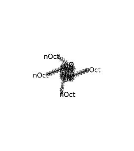 CCCCCCCCC=CCCCCCCCC(=O)N1CCCN=C1CN(CCN(CC1=NCCCN1C(=O)CCCCCCCC=CCCCCCCCC)CC1=NCCCN1C(=O)CCCCCCCC=CCCCCCCCC)CC1=NCCCN1C(=O)CCCCCCCC=CCCCCCCCC